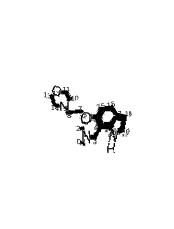 CN(C)Cc1c(OCCN2CCOCC2)ccc2[c]c[nH]c12